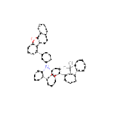 CC1(C)c2ccccc2-c2cccc(-c3ccc(N(c4cccc(-c5cccc6oc7c8ccccc8ccc7c56)c4)c4ccccc4-c4ccccc4)cc3)c21